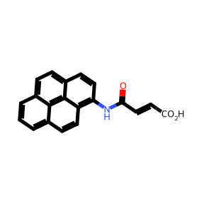 O=C(O)C=CC(=O)Nc1ccc2ccc3cccc4ccc1c2c34